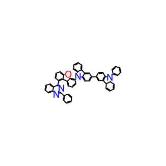 C1=CC2c3cc(-c4ccc5c(c4)c4ccccc4n5-c4cccc5c4oc4cccc(-c6nc(-c7ccccc7)nc7ccccc67)c45)ccc3N(c3ccccc3)C2C=C1